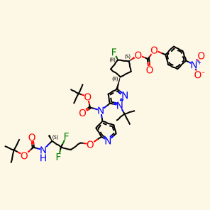 C[C@H](NC(=O)OC(C)(C)C)C(F)(F)CCOc1cc(N(C(=O)OC(C)(C)C)c2cc([C@H]3C[C@@H](F)[C@@H](OC(=O)Oc4ccc([N+](=O)[O-])cc4)C3)nn2C(C)(C)C)ccn1